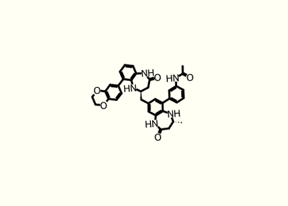 CC(=O)Nc1cccc(-c2cc(C[C@@H]3CC(=O)Nc4cccc(-c5ccc6c(c5)OCCO6)c4N3)cc3c2N[C@H](C)CC(=O)N3)c1